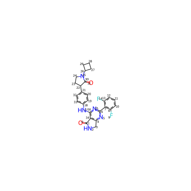 O=C1NCc2nc(-c3c(F)cccc3F)nc(Nc3ccc(C4CCN(C5CCC5)C4=O)cc3)c21